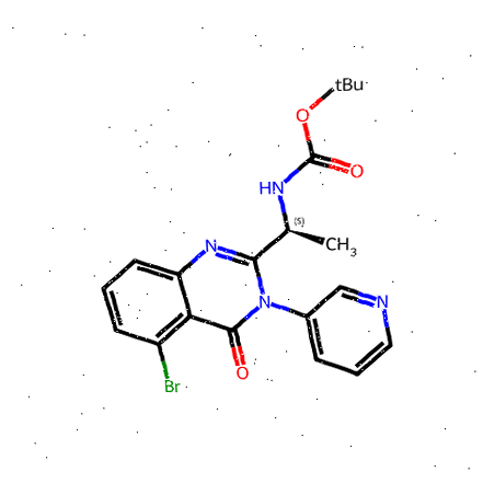 C[C@H](NC(=O)OC(C)(C)C)c1nc2cccc(Br)c2c(=O)n1-c1cccnc1